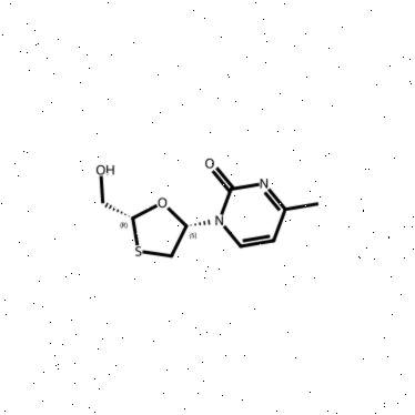 Cc1ccn([C@@H]2CS[C@H](CO)O2)c(=O)n1